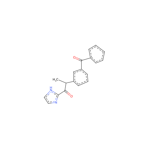 CC(C(=O)c1ncc[nH]1)c1cccc(C(=O)c2ccccc2)c1